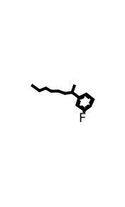 CCCCCCC(C)c1cccc(F)c1